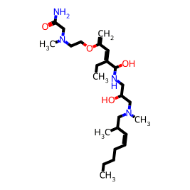 C=C(/C=C(\CC)C(O)NCC(O)CN(C)CC(C)/C=C\CCCC)OCCN(C)CC(N)=O